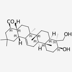 CC1(C)C[C@@H](C(=O)O)[C@]2(C)CC[C@]3(C)C(=CC[C@@H]4[C@@]5(C)CC[C@H](O)[C@](C)(CO)[C@@H]5CC[C@]43C)[C@@H]2C1